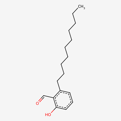 CCCCCCCCCCc1cccc(O)c1C=O